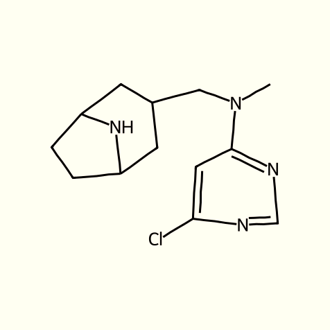 CN(CC1CC2CCC(C1)N2)c1cc(Cl)ncn1